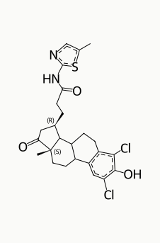 Cc1cnc(NC(=O)CC[C@@H]2CC(=O)[C@@]3(C)CCC4c5cc(Cl)c(O)c(Cl)c5CCC4C23)s1